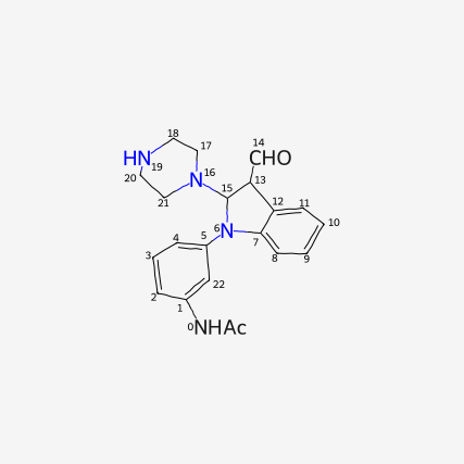 CC(=O)Nc1cccc(N2c3ccccc3C(C=O)C2N2CCNCC2)c1